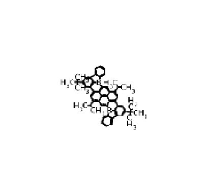 CC(C)c1cc2c3c(cc4c(C(C)C)cc5c6c(cc1c3c46)B1c3ccccc3-c3cc(C(C)(C)C)cc-5c31)B1c3ccccc3-c3cc(C(C)(C)C)cc-2c31